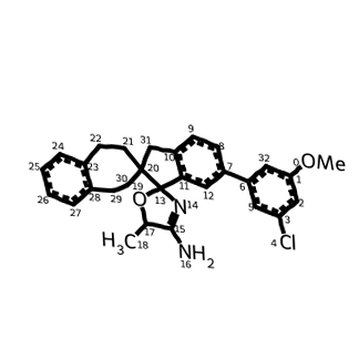 COc1cc(Cl)cc(-c2ccc3c(c2)C2(N=C(N)C(C)O2)C2(CCc4ccccc4CC2)C3)c1